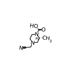 C[C@@H]1CN(CC#N)CCN1C(=O)O